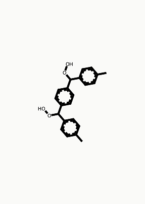 Cc1ccc(C(OO)c2ccc(C(OO)c3ccc(C)cc3)cc2)cc1